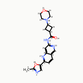 Cc1ncc(-c2ccc3cnc(NC(=O)C4CC(N5CCOCC5)C4)cc3n2)o1